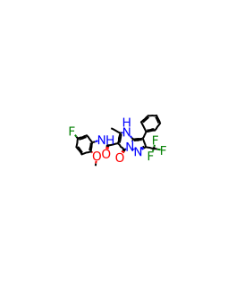 COc1ccc(F)cc1NC(=O)c1c(C)[nH]c2c(-c3ccccc3)c(C(F)(F)F)nn2c1=O